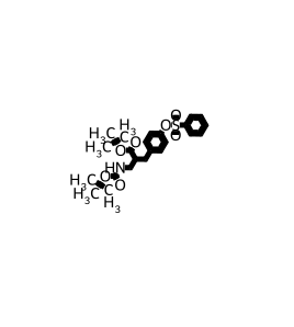 CC(C)(C)OC(=O)NCC(Cc1ccc(OS(=O)(=O)c2ccccc2)cc1)C(=O)OC(C)(C)C